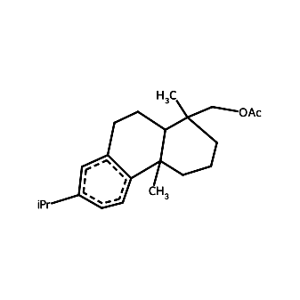 CC(=O)OCC1(C)CCCC2(C)c3ccc(C(C)C)cc3CCC12